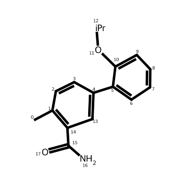 Cc1ccc(-c2ccccc2OC(C)C)cc1C(N)=O